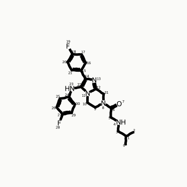 CC(C)CNCC(=O)N1CCn2c(nc(-c3ccc(F)cc3)c2Nc2ccc(F)cc2)C1